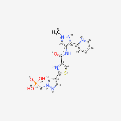 Cn1cc(NC(=O)c2csc(-c3cnn(CP(=O)(O)O)c3)n2)c(-c2ccccn2)n1